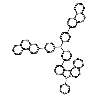 c1ccc(-n2c3cccc(-c4cccc(N(c5ccc(-c6ccc7c(ccc8ccccc87)c6)cc5)c5ccc(-c6ccc7c(ccc8ccccc87)c6)cc5)c4)c3c3c4ccccc4ccc32)cc1